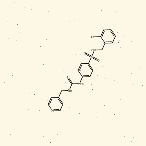 O=S(=O)(NCc1ccccc1Cl)c1ccc(NC(=S)NCc2ccncc2)cc1